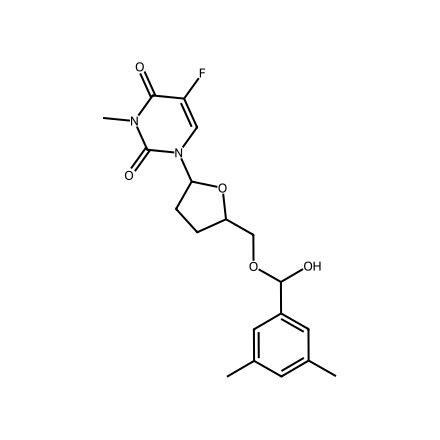 Cc1cc(C)cc(C(O)OCC2CCC(n3cc(F)c(=O)n(C)c3=O)O2)c1